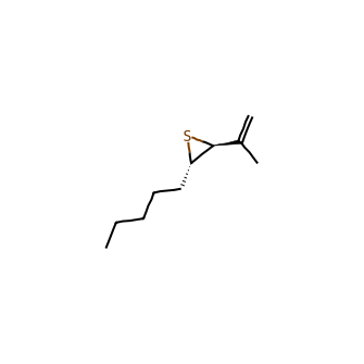 C=C(C)[C@@H]1S[C@H]1CCCCC